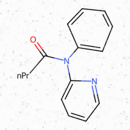 CCCC(=O)N(c1ccccc1)c1ccccn1